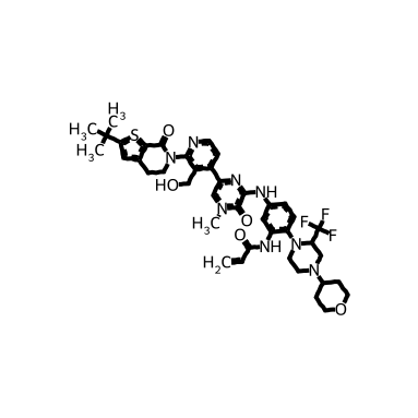 C=CC(=O)Nc1cc(Nc2nc(-c3ccnc(N4CCc5cc(C(C)(C)C)sc5C4=O)c3CO)cn(C)c2=O)ccc1N1CCN(C2CCOCC2)CC1C(F)(F)F